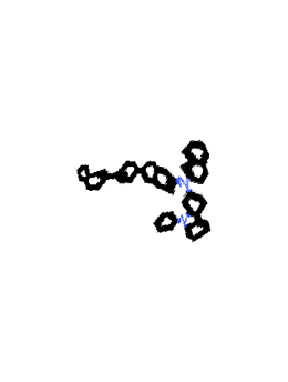 c1ccc(-n2c3ccccc3c3ccc(N(c4ccc5ccccc5c4)c4ccc5cc(-c6ccc(-c7ccc8ccccc8c7)cc6)ccc5c4)cc32)cc1